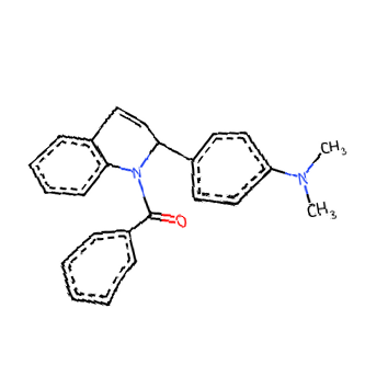 CN(C)c1ccc(C2C=Cc3ccccc3N2C(=O)c2ccccc2)cc1